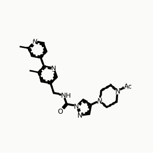 CC(=O)N1CCN(c2cnn(C(=O)NCc3cnc(-c4ccnc(C)c4)c(C)c3)c2)CC1